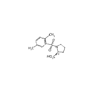 Cc1ccc(C)c(S(=O)(=O)N2CCC[C@H]2C(=O)O)c1